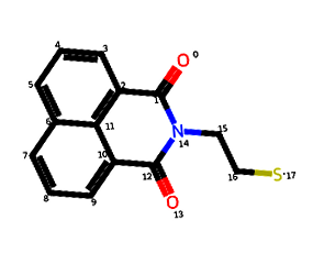 O=C1c2cccc3cccc(c23)C(=O)N1CC[S]